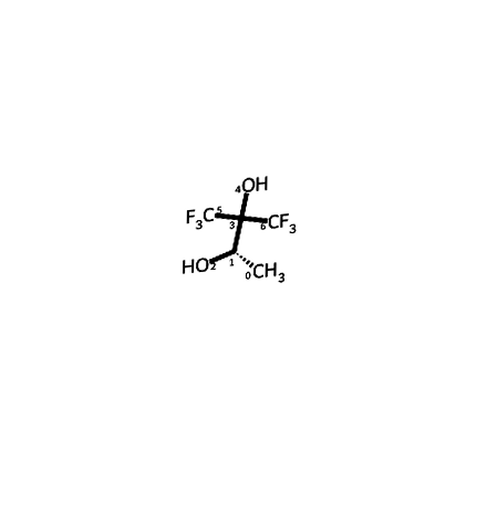 C[C@H](O)C(O)(C(F)(F)F)C(F)(F)F